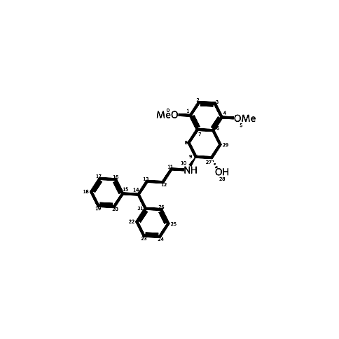 COc1ccc(OC)c2c1C[C@H](NCCCC(c1ccccc1)c1ccccc1)[C@@H](O)C2